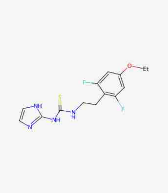 CCOc1cc(F)c(CCNC(=S)Nc2ncc[nH]2)c(F)c1